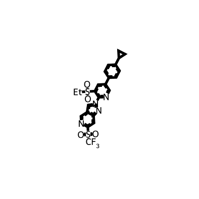 CCS(=O)(=O)c1cc(-c2ccc(C3CC3)cc2)cnc1-n1cc2cnc(S(=O)(=O)C(F)(F)F)cc2n1